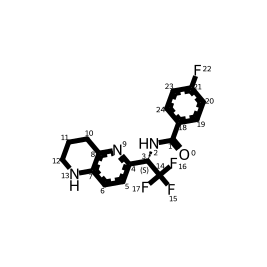 O=C(N[C@@H](c1ccc2c(n1)CCCN2)C(F)(F)F)c1ccc(F)cc1